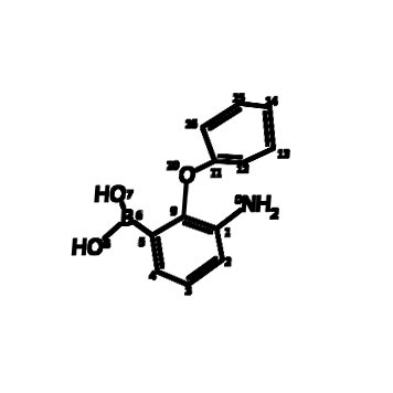 Nc1cccc(B(O)O)c1Oc1ccccc1